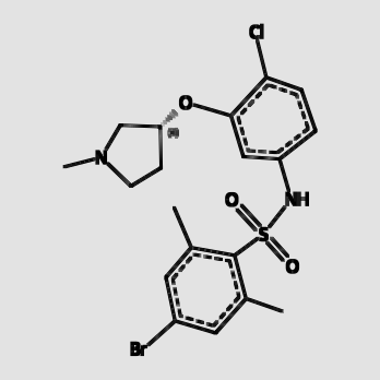 Cc1cc(Br)cc(C)c1S(=O)(=O)Nc1ccc(Cl)c(O[C@@H]2CCN(C)C2)c1